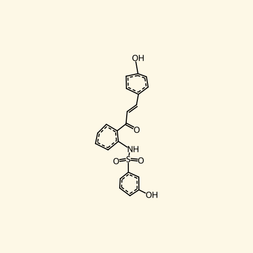 O=C(C=Cc1ccc(O)cc1)c1ccccc1NS(=O)(=O)c1cccc(O)c1